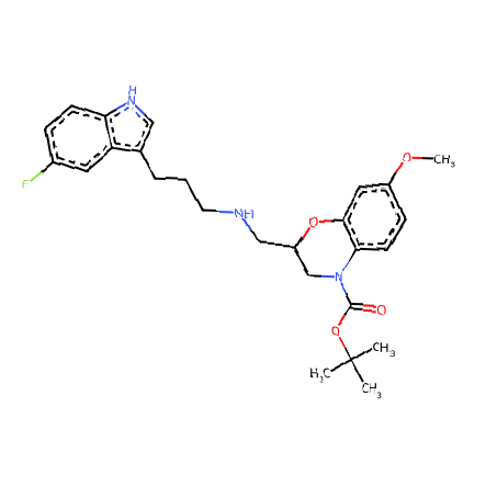 COc1ccc2c(c1)OC(CNCCCc1c[nH]c3ccc(F)cc13)CN2C(=O)OC(C)(C)C